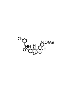 COc1cc2[nH]c(=O)c(C(=O)Nc3cc(C(=O)NCc4cccc(Cl)c4)ccc3Cl)cc2cn1